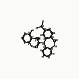 Cc1cccc(C)c1NC(=O)C1c2ccccc2COc2ccc(C(C)C)cc21